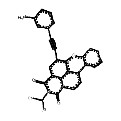 CCC(CC)n1c(=O)c2ccc3c4ccccc4oc4c(C#Cc5cccc(N)c5)cc(c1=O)c2c43